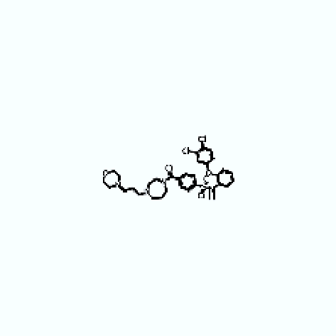 O=C(c1ccc(S(=O)(=O)Nc2ccccc2Oc2ccc(Cl)c(Cl)c2)cc1)N1CCCN(CCCN2CCOCC2)CC1